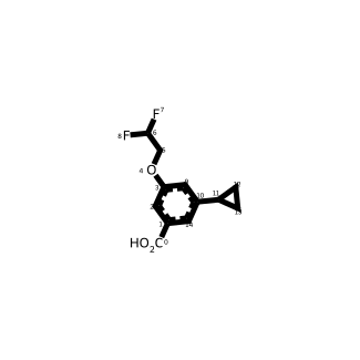 O=C(O)c1cc(OCC(F)F)cc(C2CC2)c1